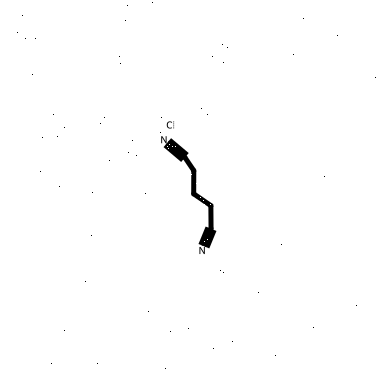 N#CCCCC#N.[C]